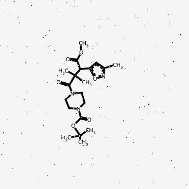 COC(=O)C(c1cc(C)no1)C(C)(C)C(=O)N1CCN(C(=O)OC(C)(C)C)CC1